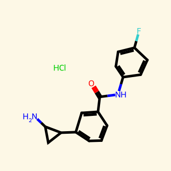 Cl.NC1CC1c1cccc(C(=O)Nc2ccc(F)cc2)c1